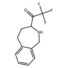 O=C(C1CCc2ccccc2CN1)C(F)(F)F